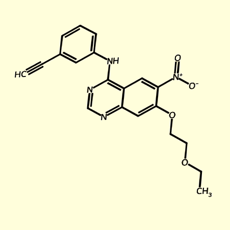 C#Cc1cccc(Nc2ncnc3cc(OCCOCC)c([N+](=O)[O-])cc23)c1